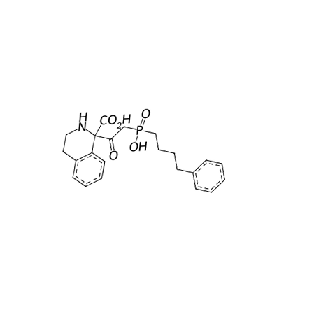 O=C(O)C1(C(=O)CP(=O)(O)CCCCc2ccccc2)NCCc2ccccc21